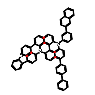 c1ccc(-c2ccc(-c3ccc(N(c4cccc(-c5ccc6ccccc6c5)c4)c4ccccc4-c4ccccc4N(c4ccc5c(c4)sc4ccccc45)c4ccccc4-c4ccccc4)cc3)cc2)cc1